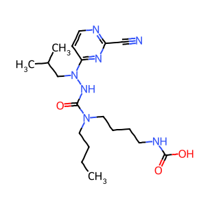 CCCCN(CCCCNC(=O)O)C(=O)NN(CC(C)C)c1ccnc(C#N)n1